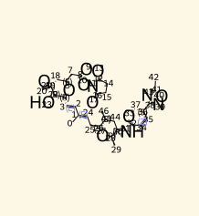 CC(/C=C/[C@H]1O[C@H](CC(=O)ON2C(=O)CCC2=O)C[C@@]2(CO2)[C@@H]1O)=C\C[C@@H]1O[C@H](C)[C@H](NC(=O)/C=C\[C@H](C)c2noc(C)n2)C[C@@H]1C